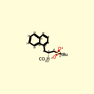 CC(C)(C)S(=O)(=O)C[C@@H](Cc1cccc2ccccc12)C(=O)O